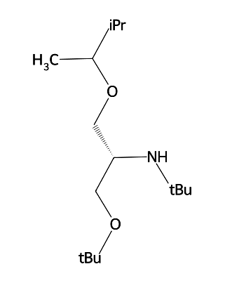 CC(C)C(C)OC[C@@H](COC(C)(C)C)NC(C)(C)C